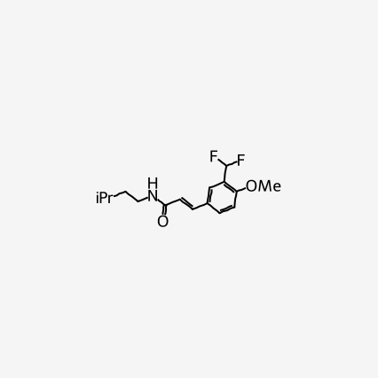 COc1ccc(/C=C/C(=O)NCCC(C)C)cc1C(F)F